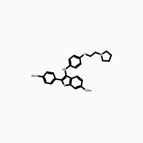 COc1ccc(-c2sc3cc(OC)ccc3c2Nc2ccc(OCCN3CCCC3)cc2)cc1